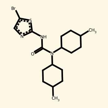 CC1CCC(N(C(=O)Nc2ncc(Br)s2)C2CCC(C)CC2)CC1